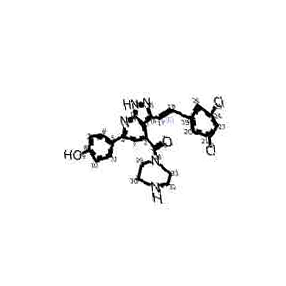 O=C(c1cc(-c2ccc(O)cc2)nc2[nH]nc(/C=C/c3cc(Cl)cc(Cl)c3)c12)N1CCNCC1